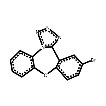 Brc1ccc2c(c1)-c1nnnn1-c1ccccc1O2